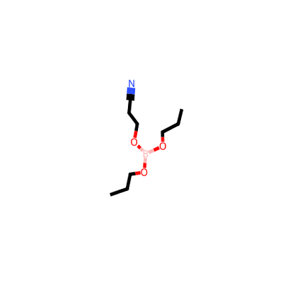 CCCOB(OCCC)OCCC#N